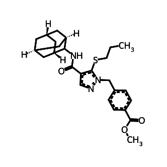 CCCSc1c(C(=O)NC2[C@H]3C[C@@H]4C[C@@H](C[C@H]2C4)C3)cnn1Cc1ccc(C(=O)OC)cc1